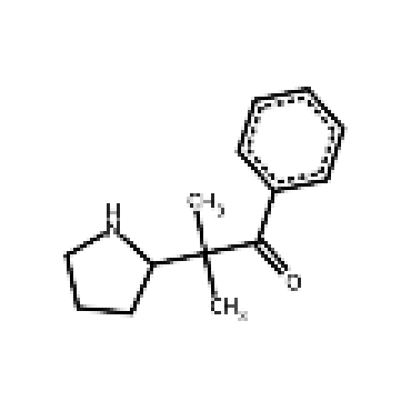 CC(C)(C(=O)c1ccccc1)C1CCCN1